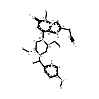 CC[C@H]1CN(C(C)c2ccc(OC)cn2)[C@H](CC)CN1c1cc(=O)n(C)n2cc(CC#N)nc12